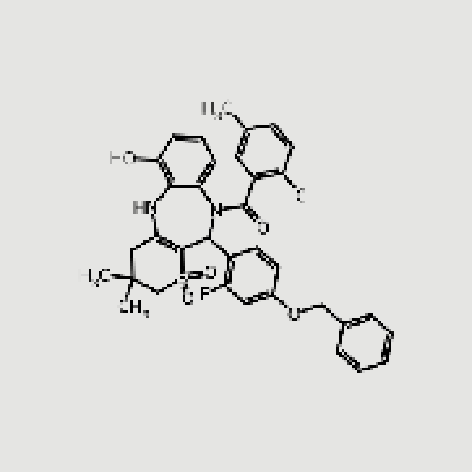 Cc1ccc(Cl)c(C(=O)N2c3cccc(O)c3NC3=C(C2c2ccc(OCc4ccccc4)cc2F)S(=O)(=O)CC(C)(C)C3)c1